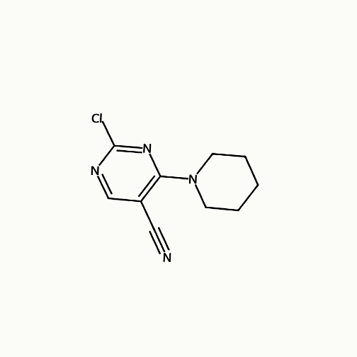 N#Cc1cnc(Cl)nc1N1CCCCC1